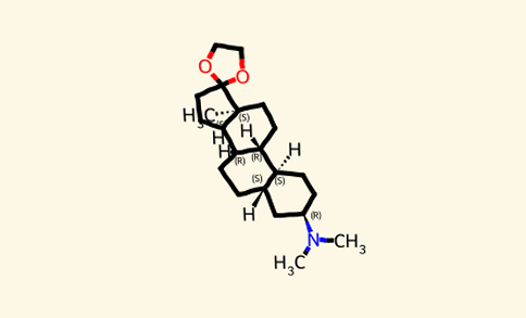 CN(C)[C@@H]1CC[C@H]2[C@@H](CC[C@@H]3[C@@H]2CC[C@@]2(C)[C@H]3CCC23OCCO3)C1